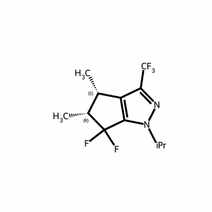 CC(C)n1nc(C(F)(F)F)c2c1C(F)(F)[C@H](C)[C@@H]2C